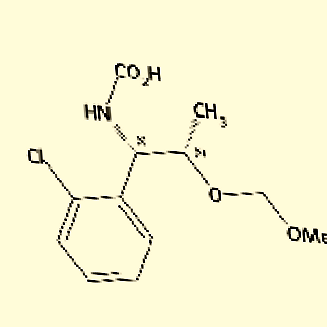 COCO[C@@H](C)[C@@H](NC(=O)O)c1ccccc1Cl